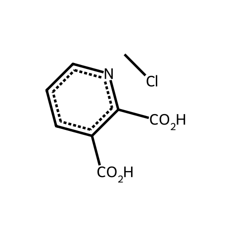 CCl.O=C(O)c1cccnc1C(=O)O